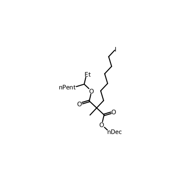 CCCCCCCCCCOC(=O)C(C)(CCCCCCI)C(=O)OC(CC)CCCCC